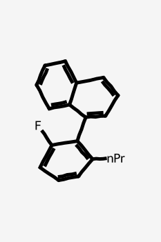 CCCc1cccc(F)c1-c1cccc2ccccc12